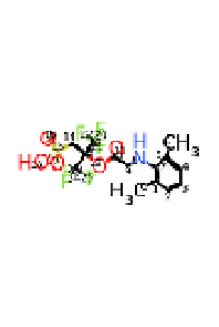 Cc1cccc(C)c1NCC(=O)OC(CS(=O)(=O)O)(C(F)(F)F)C(F)(F)F